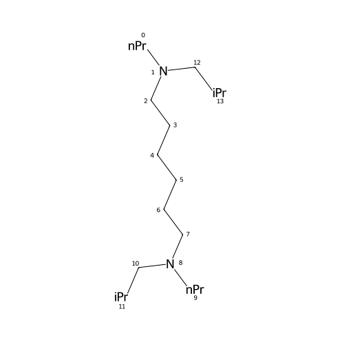 CCCN(CCCCCCN(CCC)CC(C)C)CC(C)C